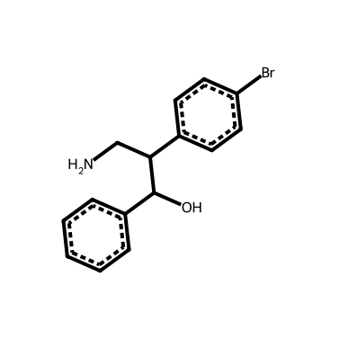 NCC(c1ccc(Br)cc1)C(O)c1ccccc1